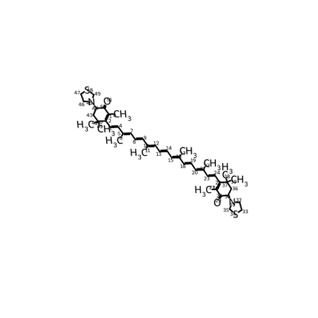 CC1=C(/C=C/C(C)=C/C=C/C(C)=C/C=C/C=C(C)/C=C/C=C(C)/C=C/C2=C(C)C(=O)C(N3CCSC3)CC2(C)C)C(C)(C)CC(N2CCSC2)C1=O